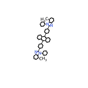 Cc1cccc2nc(-c3ccc(-c4c5ccccc5c(-c5ccc(-c6nc7cccc(C)c7n6-c6ccccc6)cc5)c5ccccc45)cc3)n(-c3ccccc3)c12